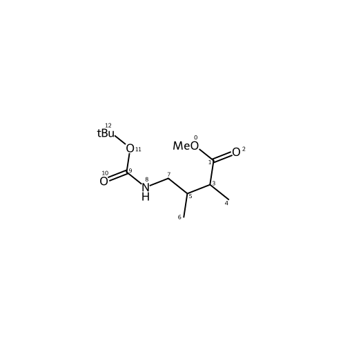 COC(=O)C(C)C(C)CNC(=O)OC(C)(C)C